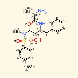 CCCCN(C[C@@H](O)[C@H](Cc1ccccc1)NC(=O)[C@@H](N)[C@@H](C)CC)S(=O)(=O)c1ccc(OC)cc1